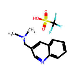 CN(C)Cc1cnc2ccccc2c1.O=S(=O)(O)C(F)(F)F